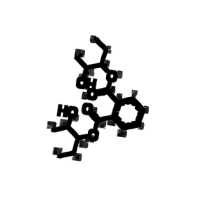 CCC(OC(=O)c1ccccc1C(=O)OC(CC)C(C)O)C(C)O